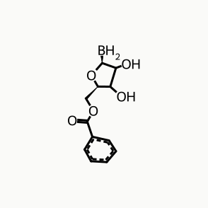 B[C@@H]1O[C@H](COC(=O)c2ccccc2)C(O)C1O